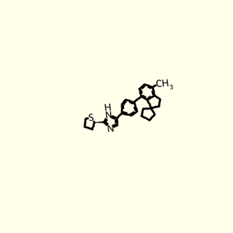 Cc1ccc(-c2ccc(-c3cnc([C@H]4CCCS4)[nH]3)cc2)c2c1CCC21CCCC1